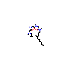 CCCCCCC(C)CCCN(C)C(=O)CN(C)C(=O)CN(C)C(=O)CN(C)CC(C)C